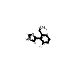 CCc1cccc(F)c1-c1c[nH]cn1